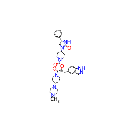 CN1CCN(C2CCN(C(=O)[C@@H](Cc3ccc4[nH]ncc4c3)OC(=O)N3CCC(n4cc(-c5ccccc5)[nH]c4=O)CC3)CC2)CC1